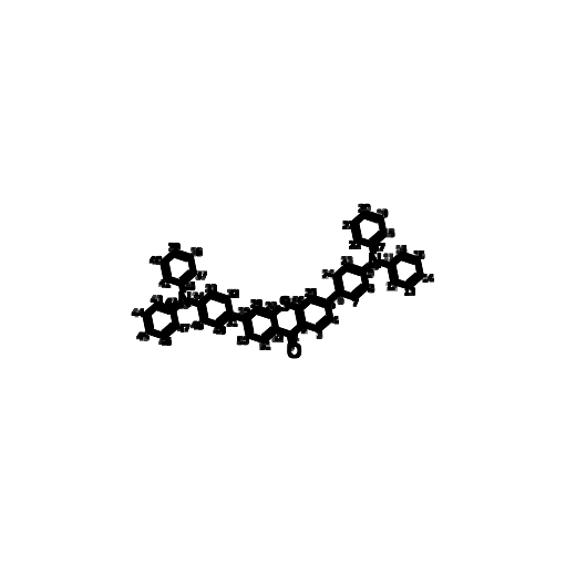 O=c1c2ccc(-c3ccc(N(c4ccccc4)c4ccccc4)cc3)cc2sc2cc(-c3ccc(N(c4ccccc4)c4ccccc4)cc3)ccc12